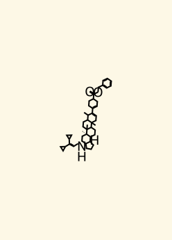 CC1C(C2=CCC(C(=O)OCc3ccccc3)CC2)=CCC2(C)C1CCC1(C)C2CCC2[C@H]3CCCC3(NCC=C(C3CC3)C3CC3)CC[C@]21C